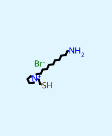 NCCCCCCCCCCC[N+]1(CCS)CCCC1.[Br-]